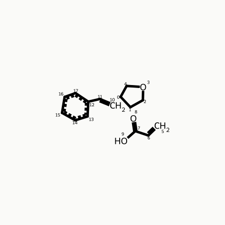 C1CCOC1.C=CC(=O)O.C=Cc1ccccc1